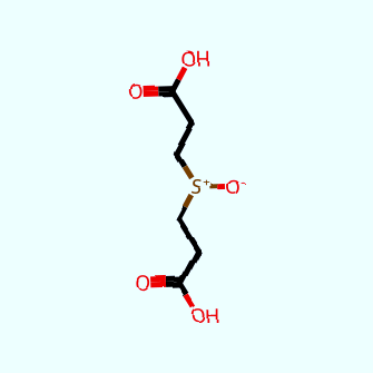 O=C(O)CC[S+]([O-])CCC(=O)O